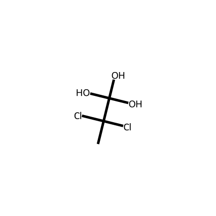 CC(Cl)(Cl)C(O)(O)O